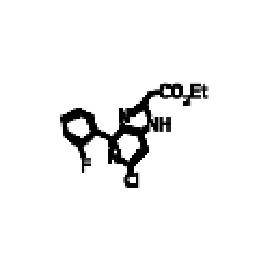 CCOC(=O)Cc1nc2c(-c3ccccc3F)nc(Cl)cc2[nH]1